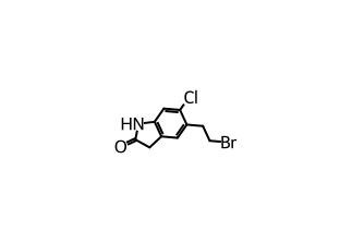 O=C1Cc2cc(CCBr)c(Cl)cc2N1